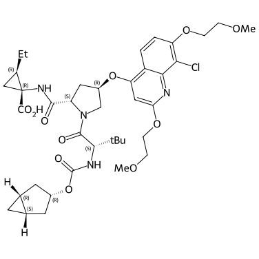 CC[C@@H]1C[C@]1(NC(=O)[C@@H]1C[C@@H](Oc2cc(OCCOC)nc3c(Cl)c(OCCOC)ccc23)CN1C(=O)[C@@H](NC(=O)O[C@@H]1C[C@@H]2C[C@@H]2C1)C(C)(C)C)C(=O)O